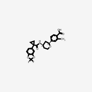 Cc1cc([C@@H]2C[C@H](NC(=O)C3(c4ccc5c(c4)OC(F)(F)O5)CC3)CCO2)ccc1C(=O)O